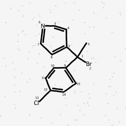 CC(Br)(c1ccncc1)c1ccc(Cl)cc1